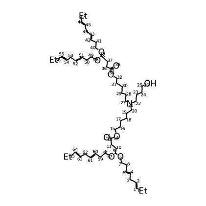 CCC=CCC=CCCOC(CCC(=O)OCCCCCCN(CCCCO)CCCCCCOC(=O)CCC(OCCC=CCC=CCC)OCCC=CCC=CCC)OCCC=CCC=CCC